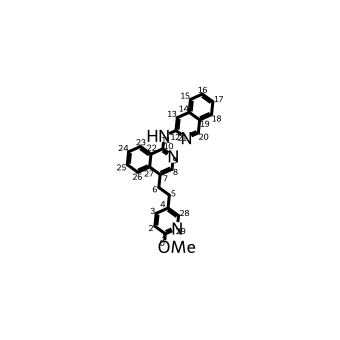 COc1ccc(CCc2cnc(Nc3cc4ccccc4cn3)c3ccccc23)cn1